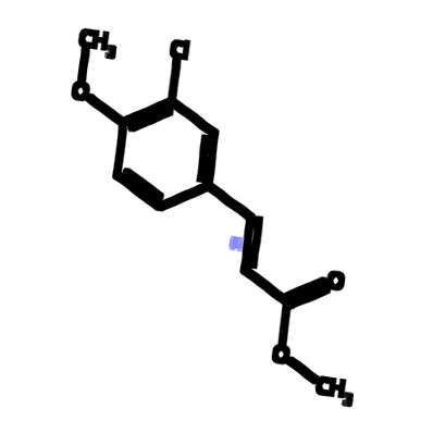 COC(=O)/C=C/c1ccc(OC)c(Cl)c1